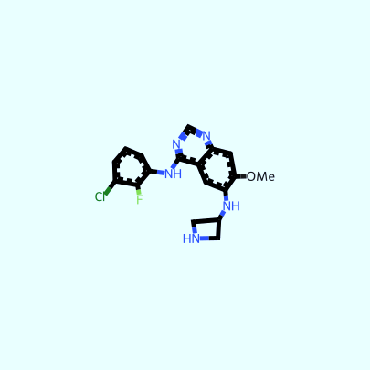 COc1cc2ncnc(Nc3cccc(Cl)c3F)c2cc1NC1CNC1